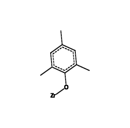 Cc1cc(C)c([O][Zr])c(C)c1